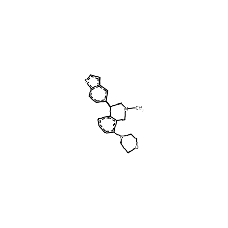 CN1Cc2c(cccc2N2CCOCC2)C(c2ccc3sccc3c2)C1